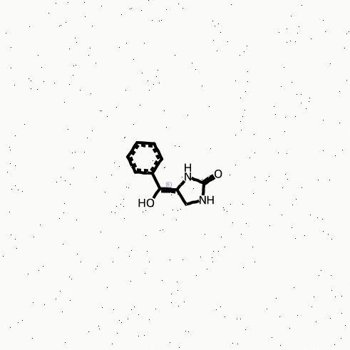 O=C1NC/C(=C(\O)c2ccccc2)N1